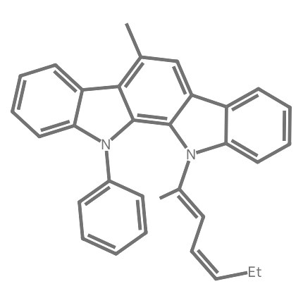 CC/C=C\C=C(/C)n1c2ccccc2c2cc(C)c3c4ccccc4n(-c4ccccc4)c3c21